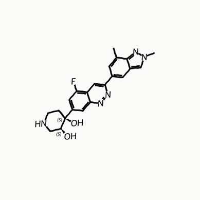 Cc1cc(-c2cc3c(F)cc([C@@]4(O)CCNC[C@@H]4O)cc3nn2)cc2cn(C)nc12